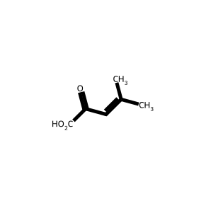 CC(C)=CC(=O)C(=O)O